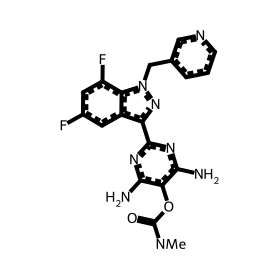 CNC(=O)Oc1c(N)nc(-c2nn(Cc3cccnc3)c3c(F)cc(F)cc23)nc1N